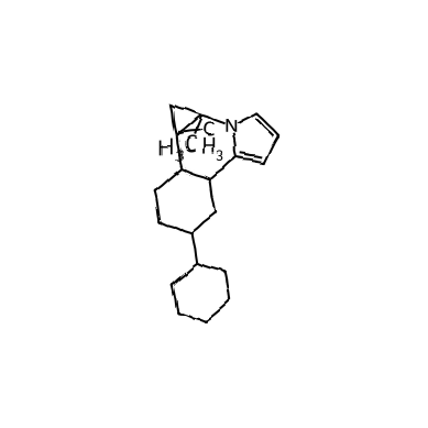 CC12CC1(C)n1cccc1C1CC(C3CCCCC3)CCC12